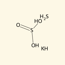 O=S(O)O.S.[KH]